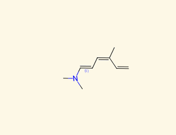 C=CC(C)=C/C=C/N(C)C